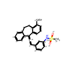 CSc1cccc2c1CCc1ccccc1C2=C=Cc1cccc(NS(C)(=O)=O)c1